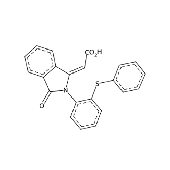 O=C(O)/C=C1\c2ccccc2C(=O)N1c1ccccc1Sc1ccccc1